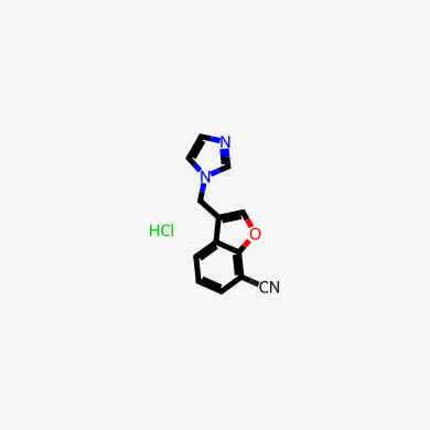 Cl.N#Cc1cccc2c(Cn3ccnc3)coc12